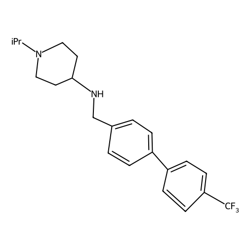 CC(C)N1CCC(NCc2ccc(-c3ccc(C(F)(F)F)cc3)cc2)CC1